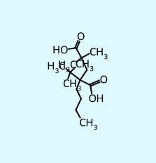 CCCCC(CC(C)(C)C(=O)O)(C(=O)O)C(C)(C)C